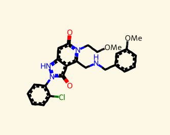 COCCn1c(CNCc2cccc(OC)c2)c2c(=O)n(-c3ccccc3Cl)[nH]c2cc1=O